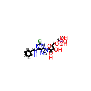 O=P(O)(O)COCC1O[C@@H](n2cnc3c(NCc4ccccc4)nc(Cl)nc32)[C@H](O)[C@@H]1O